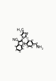 Cc1cn(-c2c(C#N)c3ccccc3n2-c2ccc(CN)cc2)cn1